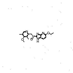 CCOc1ccc2[nH]c([S+]([O-])Cc3ncc(C)c(OC)c3C)nc2n1